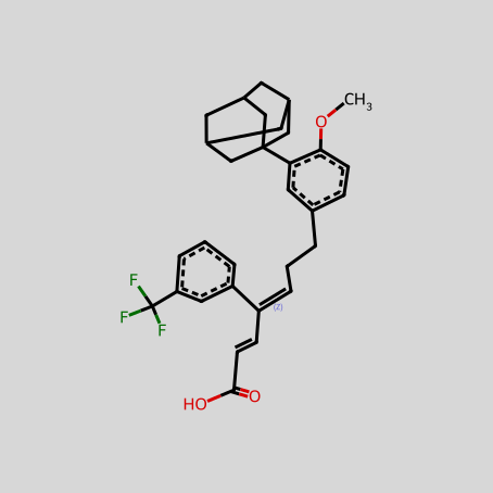 COc1ccc(CC/C=C(/C=CC(=O)O)c2cccc(C(F)(F)F)c2)cc1C12CC3CC(CC(C3)C1)C2